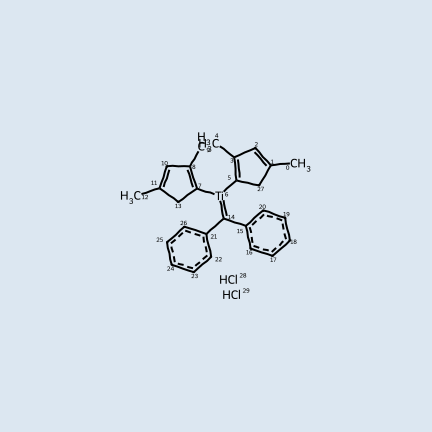 CC1=CC(C)=[C]([Ti]([C]2=C(C)C=C(C)C2)=[C](c2ccccc2)c2ccccc2)C1.Cl.Cl